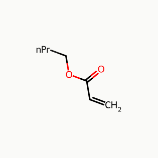 [CH2]CCCOC(=O)C=C